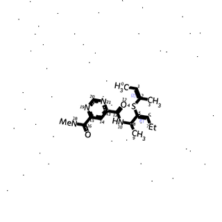 C/C=C(/C)S/C(=C/CC)C(C)NC(=O)c1cc(C(=O)NC)ncn1